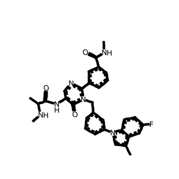 CNC(=O)c1cccc(-c2ncc(NC(=O)C(C)NC)c(=O)n2Cc2cccc(-n3cc(C)c4cc(F)ccc43)c2)c1